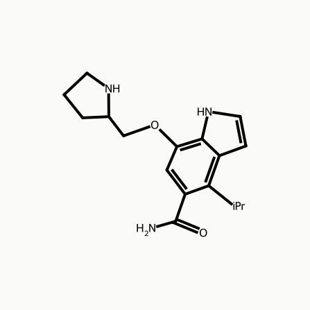 CC(C)c1c(C(N)=O)cc(OCC2CCCN2)c2[nH]ccc12